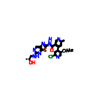 COc1cnc(Cl)cc1-c1cc(C)ncc1C(=O)Nc1nc2cnc(NC[C@@H](C)O)nc2s1